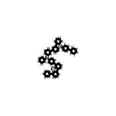 c1ccc(-c2ccc(-n3c4ccccc4c4cc(-c5cccc(N(c6ccccc6)c6ccc(-c7cccc8c7oc7c(-c9ccccc9)cccc78)cc6)c5)ccc43)cc2)cc1